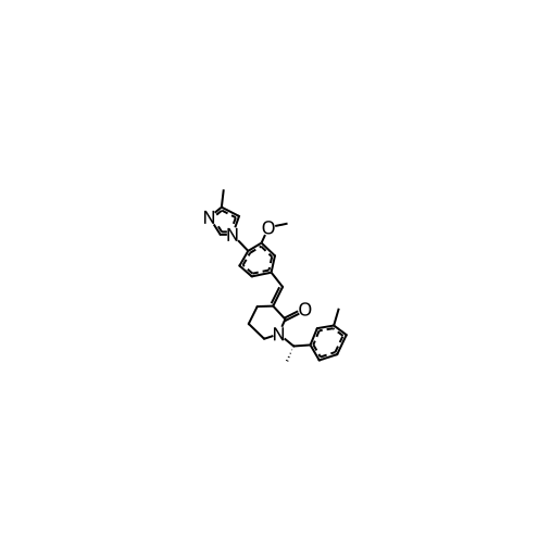 COc1cc(/C=C2\CCCN([C@@H](C)c3cccc(C)c3)C2=O)ccc1-n1cnc(C)c1